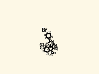 COc1ccc(C2(c3nnc4nc(-c5ccc(Br)cc5)cnn34)CC2)cc1